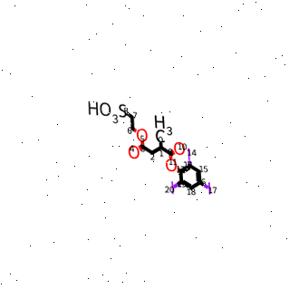 CC(CC(=O)OCCS(=O)(=O)O)C(=O)Oc1c(I)cc(I)cc1I